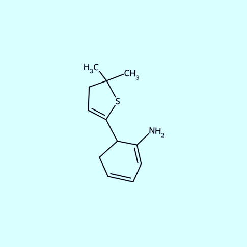 CC1(C)CC=C(C2CC=CC=C2N)S1